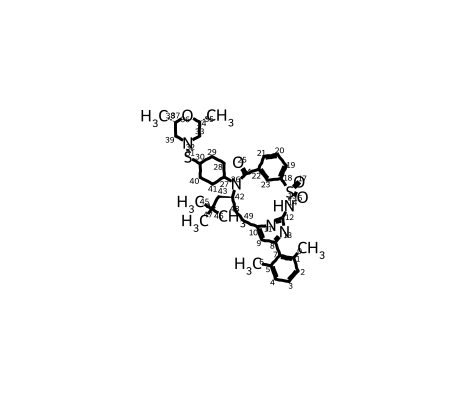 Cc1cccc(C)c1-c1cc2nc(n1)NS(=O)(=O)c1cccc(c1)C(=O)N(C1CCC(SN3C[C@@H](C)O[C@@H](C)C3)CC1)[C@H](CC(C)(C)C)CC2